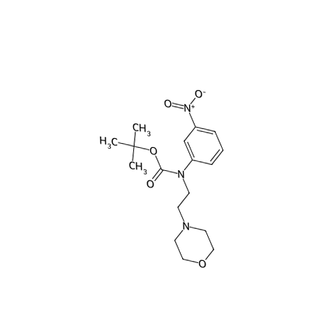 CC(C)(C)OC(=O)N(CCN1CCOCC1)c1cccc([N+](=O)[O-])c1